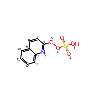 O=S(=O)(O)OOc1ccc2ccccc2n1